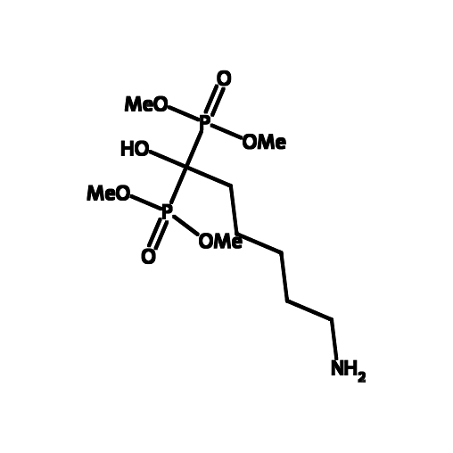 COP(=O)(OC)C(O)(CCCCCN)P(=O)(OC)OC